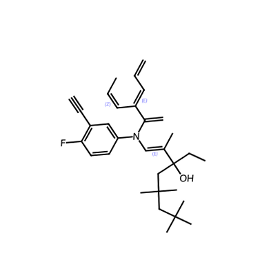 C#Cc1cc(N(/C=C(\C)C(O)(CC)CC(C)(C)CC(C)(C)C)C(=C)C(/C=C\C)=C/C=C)ccc1F